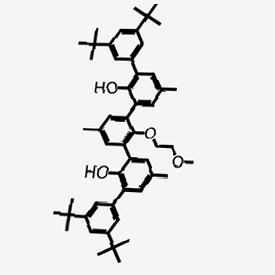 COCCOc1c(-c2cc(C)cc(-c3cc(C(C)(C)C)cc(C(C)(C)C)c3)c2O)cc(C)cc1-c1cc(C)cc(-c2cc(C(C)(C)C)cc(C(C)(C)C)c2)c1O